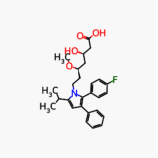 CO[C@H](CCn1c(C(C)C)cc(-c2ccccc2)c1-c1ccc(F)cc1)C[C@@H](O)CC(=O)O